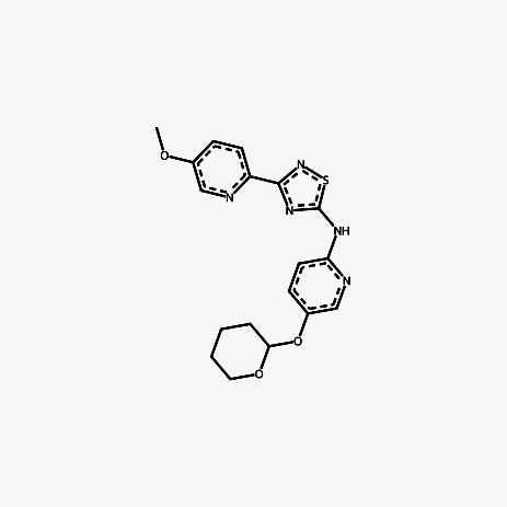 COc1ccc(-c2nsc(Nc3ccc(OC4CCCCO4)cn3)n2)nc1